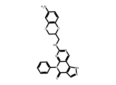 Nc1ccc2c(c1)OCC(CNc1ncc3c4[nH]ncc4c(=O)n(-c4ccccc4)c3n1)O2